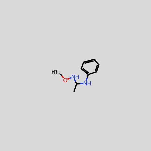 CC(NOC(C)(C)C)Nc1cc[c]cc1